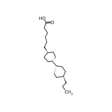 CCC[C@H]1CC[C@H]([C@H]2CC[C@H](CCCCCC(=O)O)CC2)CC1